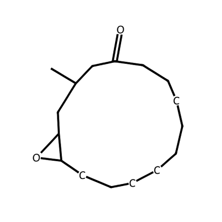 CC1CC(=O)CCCCCCCCCC2OC2C1